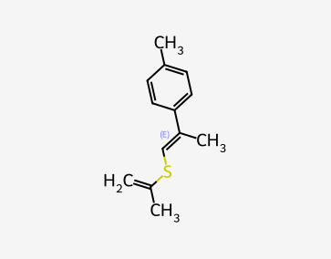 C=C(C)S/C=C(\C)c1ccc(C)cc1